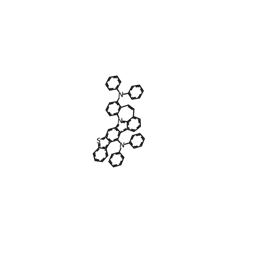 C1=Cc2cccc3c4c(N(c5ccccc5)c5ccccc5)c5c(cc4n(c23)-c2cccc(N(c3ccccc3)c3ccccc3)c21)sc1ccccc15